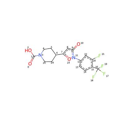 O=C(O)N1CCC(c2cc(=O)n(-c3ccc(C(F)(F)F)c(F)c3)o2)CC1